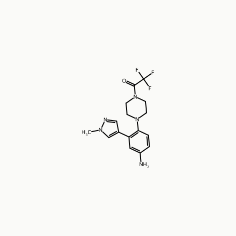 Cn1cc(-c2cc(N)ccc2N2CCN(C(=O)C(F)(F)F)CC2)cn1